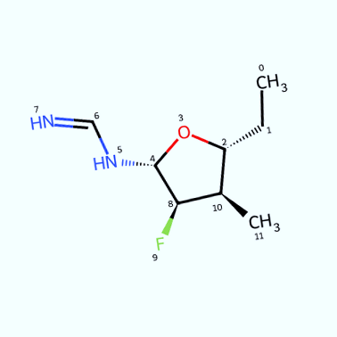 CC[C@H]1O[C@@H](NC=N)[C@H](F)[C@@H]1C